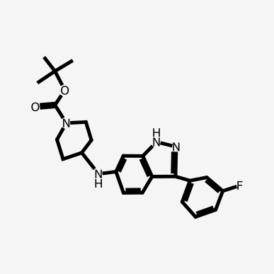 CC(C)(C)OC(=O)N1CCC(Nc2ccc3c(-c4cccc(F)c4)n[nH]c3c2)CC1